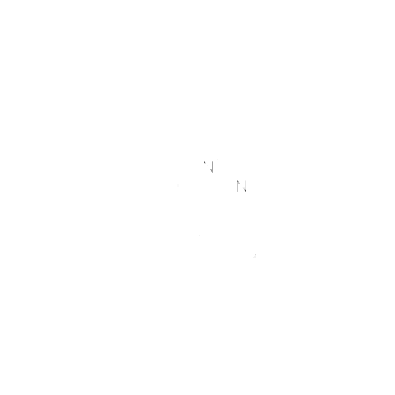 CCc1c(C)nn(C)c1C